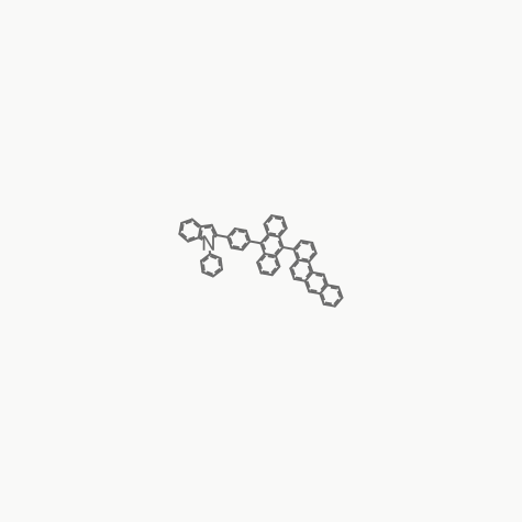 c1ccc(-n2c(-c3ccc(-c4c5ccccc5c(-c5cccc6c5ccc5cc7ccccc7cc56)c5ccccc45)cc3)cc3ccccc32)cc1